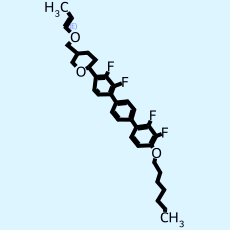 C/C=C/OCC1CCC(c2ccc(-c3ccc(-c4ccc(OCCCCCCC)c(F)c4F)cc3)c(F)c2F)OC1